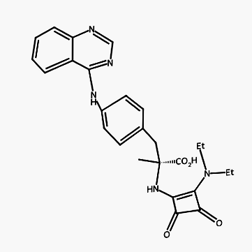 CCN(CC)c1c(N[C@@](C)(Cc2ccc(Nc3ncnc4ccccc34)cc2)C(=O)O)c(=O)c1=O